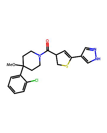 COC1(c2ccccc2Cl)CCN(C(=O)C2C=C(c3cn[nH]c3)SC2)CC1